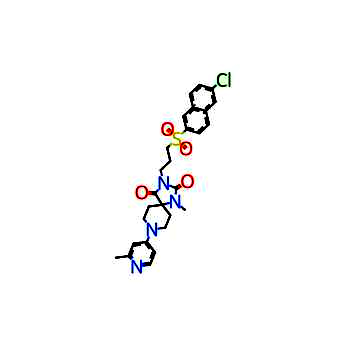 Cc1cc(N2CCC3(CC2)C(=O)N(CCCS(=O)(=O)c2ccc4cc(Cl)ccc4c2)C(=O)N3C)ccn1